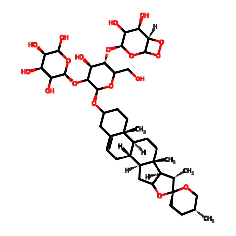 C[C@@H]1CC[C@@]2(OC1)OC1C[C@H]3[C@@H]4CC=C5CC(O[C@@H]6OC(CO)[C@@H](O[C@@H]7OC8OO[C@@H]8[C@H](O)C7O)[C@H](O)C6O[C@@H]6OC(O)[C@H](O)[C@H](O)C6O)CC[C@]5(C)[C@H]4CC[C@]3(C)[C@H]1[C@@H]2C